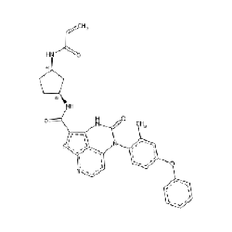 C=CC(=O)N[C@@H]1CC[C@H](NC(=O)c2sc3nccc4c3c2NC(=O)N4c2ccc(Oc3ccccc3)cc2C)C1